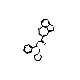 O=C(N[C@H](CN1CCCC1)c1ccccc1)C1=Cc2c[nH]c3nccc(c23)NC1